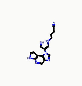 N#CCCCN/C=C(\C=N)n1cnc2cnc3[nH]ccc3c21